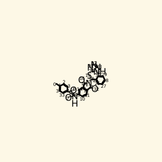 Cc1ccc(S(=O)(=O)Nc2ccc3c(c2)C(=O)N(C(Sc2nnn[nH]2)c2ccccc2)C3=O)cc1